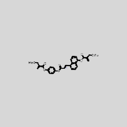 C=C(COC)C(=O)Oc1ccc(OC(=O)/C=C/c2cccc3c(OC(=O)C(=C)COC)cccc23)cc1